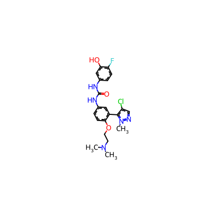 CN(C)CCOc1ccc(NC(=O)Nc2ccc(F)c(O)c2)cc1-c1c(Cl)cnn1C